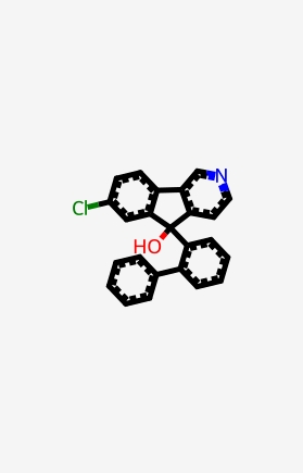 OC1(c2ccccc2-c2ccccc2)c2ccncc2-c2ccc(Cl)cc21